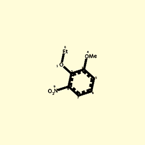 CCOc1c(OC)cccc1[N+](=O)[O-]